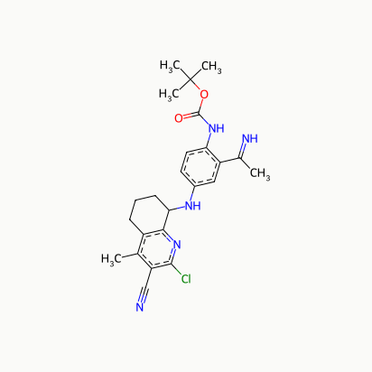 CC(=N)c1cc(NC2CCCc3c2nc(Cl)c(C#N)c3C)ccc1NC(=O)OC(C)(C)C